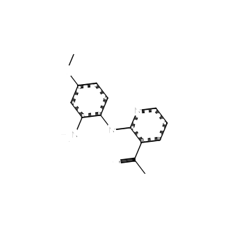 COc1ccc(Nc2ncccc2C(C)=O)c(N)c1